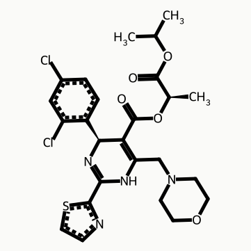 CC(C)OC(=O)[C@@H](C)OC(=O)C1=C(CN2CCOCC2)NC(c2nccs2)=N[C@H]1c1ccc(Cl)cc1Cl